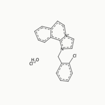 Clc1ccccc1Cn1cc[n+]2ccc3ccccc3c12.O.[Cl-]